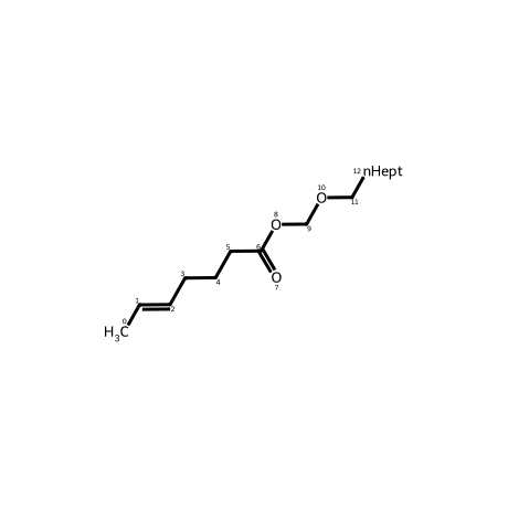 CC=CCCCC(=O)OCOCCCCCCCC